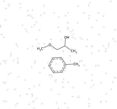 COCC(C)O.Cc1ccccc1